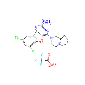 Nc1nc(N2CCN3CCCCC3C2)c2oc3c(Cl)cc(Cl)cc3c2n1.O=C(O)C(F)(F)F